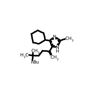 C=C(CCC(C)(C)CCCC)c1[nH]c(C)nc1C1CCCCC1